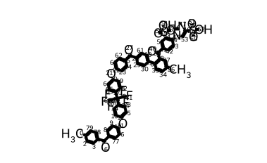 Cc1ccc(C(=O)c2ccc(Oc3ccc(C(c4ccc(Oc5ccc(C(=O)c6ccc(-c7ccc(C)cc7C(=O)c7ccc(-n8cnc(S(=O)(=O)O)c8)c(S(=O)(=O)O)c7)cc6)cc5)cc4)(C(F)(F)F)C(F)(F)F)cc3)cc2)cc1